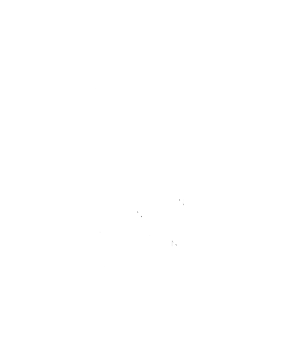 c1ccc(-c2nc(-c3ccc(-c4ccccc4-c4ccccc4-c4ccccc4)c4ccccc34)nc(-c3cccc4c3sc3ccccc34)n2)cc1